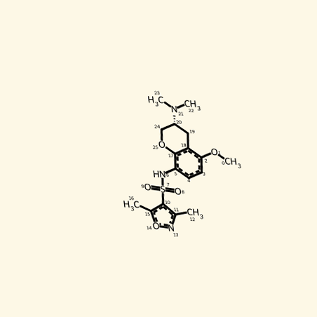 COc1ccc(NS(=O)(=O)c2c(C)noc2C)c2c1C[C@@H](N(C)C)CO2